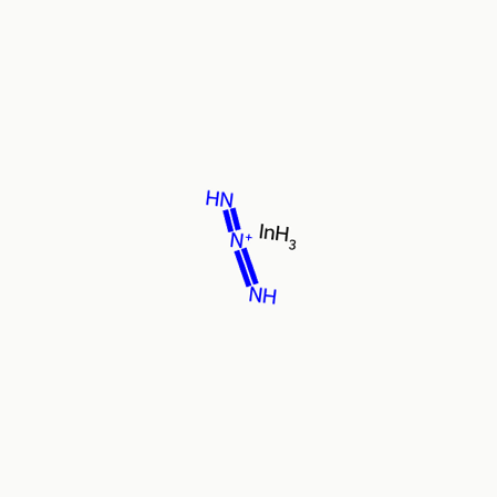 N=[N+]=N.[InH3]